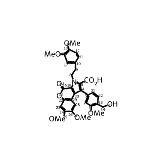 COc1cc(-c2c(C(=O)O)n(CCc3ccc(OC)c(OC)c3)c3c(=O)oc4cc(OC)c(OC)cc4c23)ccc1CO